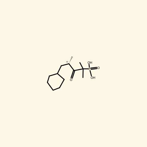 C[C@@H](CC1CCCCC1)C(=O)C(C)(C)P(=O)(O)O